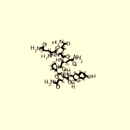 NC(=O)CC[C@H](NC(=O)[C@@H](N)CCC(N)=O)C(=O)N[C@@H](CCC(N)=O)C(=O)N1CCC[C@H]1C(=O)N[C@@H](CCC(N)=O)C(=O)N[C@@H](Cc1ccc(O)cc1)C(=O)O